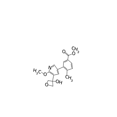 COC(=O)c1ccc(C)c(-c2cnc(OC)c(C3(O)COC3)c2)c1